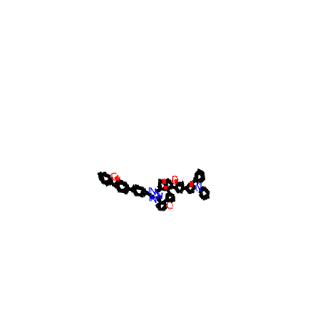 c1ccc(-c2nc(-c3ccc(-c4ccc5c(c4)oc4ccccc45)cc3)nc(-c3cccc4oc5ccc(-c6cccc7oc8cc(-c9ccc%10c(c9)c9ccccc9n%10-c9ccccc9)ccc8c67)cc5c34)n2)cc1